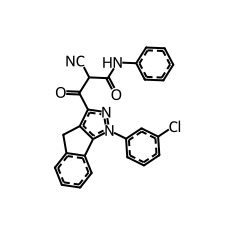 N#CC(C(=O)Nc1ccccc1)C(=O)c1nn(-c2cccc(Cl)c2)c2c1Cc1ccccc1-2